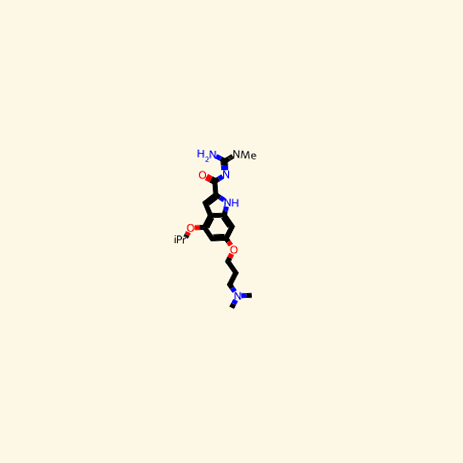 CNC(N)=NC(=O)c1cc2c(OC(C)C)cc(OCCCN(C)C)cc2[nH]1